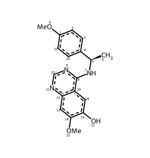 COc1ccc([C@@H](C)Nc2ncnc3cc(OC)c(O)cc23)cc1